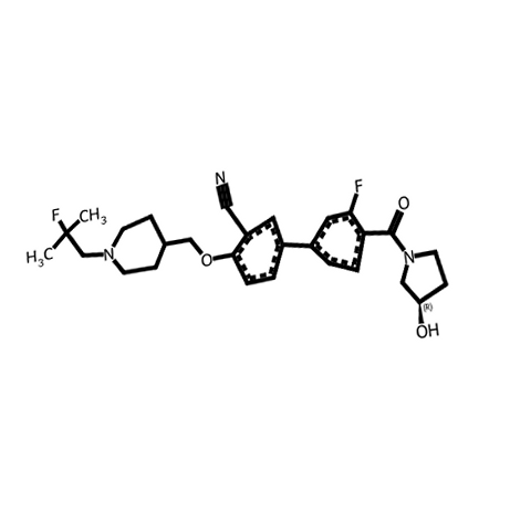 CC(C)(F)CN1CCC(COc2ccc(-c3ccc(C(=O)N4CC[C@@H](O)C4)c(F)c3)cc2C#N)CC1